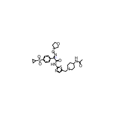 CC(=O)NC1CCN(Cc2cnc(NC(=O)/C(=N/O[C@@H]3CCOC3)c3ccc(S(=O)(=O)C4CC4)cc3)s2)CC1